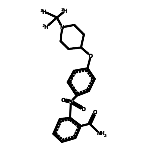 [2H]C([2H])([2H])N1CCC(Oc2ccc(S(=O)(=O)c3ccccc3C(N)=O)cc2)CC1